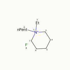 CCCCC[N+]1(CC)CCCCC1.[F-]